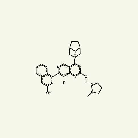 CN1CCC[C@H]1COc1nc(N2CC3CCC(C2)N3)c2cnc(-c3cc(O)cc4ccccc34)c(F)c2n1